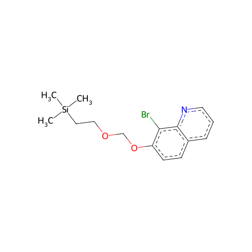 C[Si](C)(C)CCOCOc1ccc2cccnc2c1Br